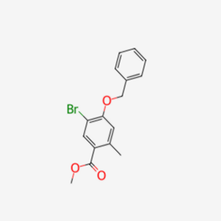 COC(=O)c1cc(Br)c(OCc2ccccc2)cc1C